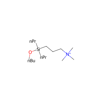 CCCCO[Si](CCC)(CCC)CCC[N+](C)(C)C